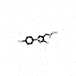 O=CNCc1cn(-c2ccc(C(F)(F)F)cc2)nc1Cl